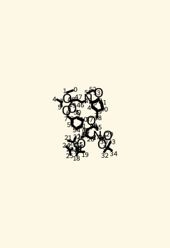 CCOC(C)COCc1ccc([C@H]2[C@H](CO[Si](C(C)C)(C(C)C)C(C)C)CN(C(=O)OC(C)(C)C)C[C@@H]2OCc2ccc3c(c2)N(CCCOC)CCO3)cc1